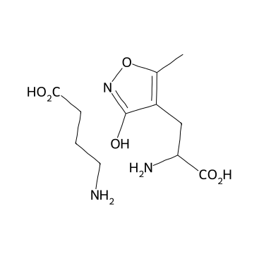 Cc1onc(O)c1CC(N)C(=O)O.NCCCC(=O)O